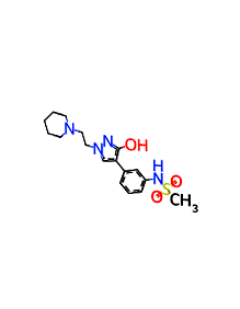 CS(=O)(=O)Nc1cccc(-c2cn(CCN3CCCCC3)nc2O)c1